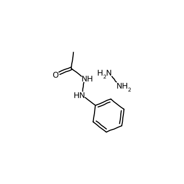 CC(=O)NNc1ccccc1.NN